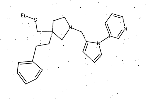 CCOCC1(CCc2ccccc2)CCN(Cc2cccn2-c2cccnc2)C1